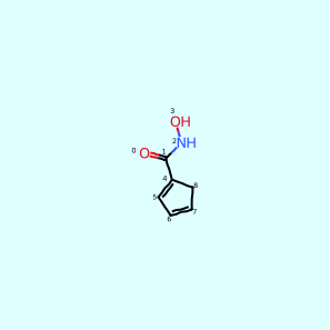 O=C(NO)C1=CC=CC1